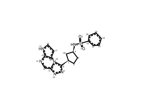 O=S(=O)(N[C@H]1CC[C@@H](c2nnc3cnc4[nH]ccc4n23)C1)c1ccccc1